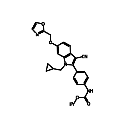 CC(C)OC(=O)Nc1ccc(-c2c(C#N)c3ccc(OCc4ncco4)cc3n2CC2CC2)cc1